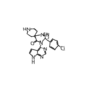 N#CC(c1ccc(Cl)cc1)N(C(=O)C1(N)CCNCC1)c1ncnc2[nH]ccc12